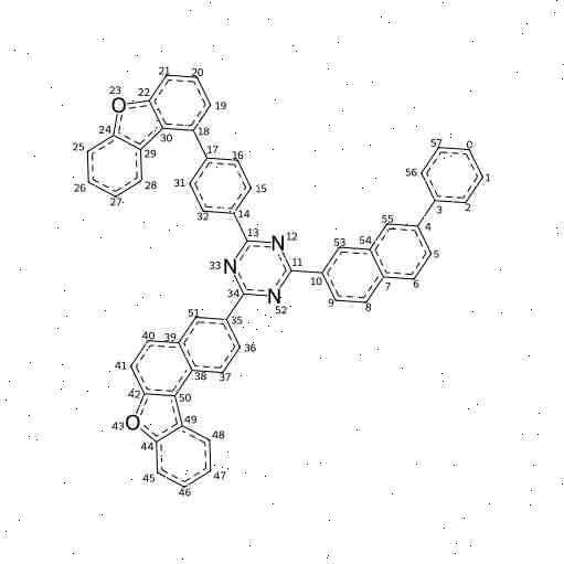 c1ccc(-c2ccc3ccc(-c4nc(-c5ccc(-c6cccc7oc8ccccc8c67)cc5)nc(-c5ccc6c(ccc7oc8ccccc8c76)c5)n4)cc3c2)cc1